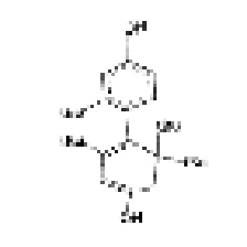 CC(C)(C)C1=C(c2ccc(O)cc2C(C)(C)C)C(C(C)(C)C)(C(C)(C)C)CC(O)=C1